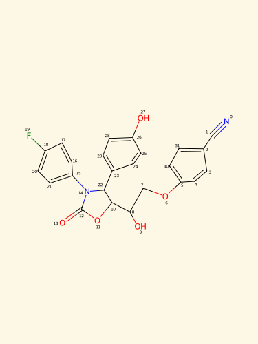 N#Cc1ccc(OCC(O)C2OC(=O)N(c3ccc(F)cc3)C2c2ccc(O)cc2)cc1